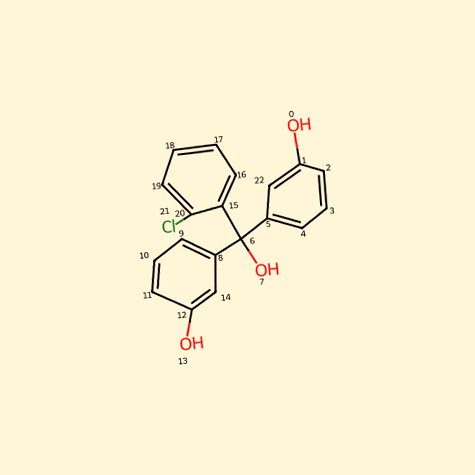 Oc1cccc(C(O)(c2cccc(O)c2)c2ccccc2Cl)c1